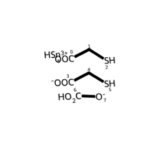 O=C([O-])CS.O=C([O-])CS.O=C([O-])O.[SnH+3]